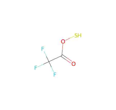 O=C(OS)C(F)(F)F